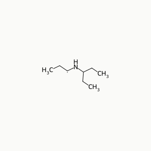 CC[CH]NC(CC)CC